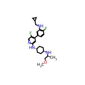 COC[C@H](C)N[C@H]1CC[C@H](Nc2cc(-c3ccc(F)c(NCC4CC4)c3)c(F)cn2)CC1